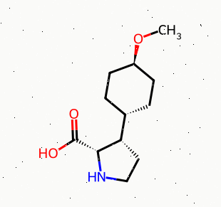 CO[C@H]1CC[C@H]([C@@H]2CCN[C@@H]2C(=O)O)CC1